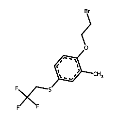 Cc1cc(SCC(F)(F)F)ccc1OCCBr